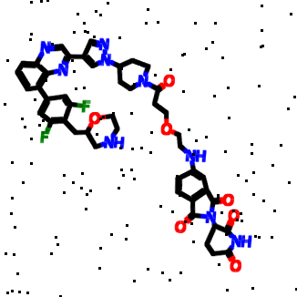 O=C1CCC(N2C(=O)c3ccc(NCCOCCC(=O)N4CCC(n5cc(-c6cnc7cccc(-c8cc(F)c(CC9CNCCO9)c(F)c8)c7n6)cn5)CC4)cc3C2=O)C(=O)N1